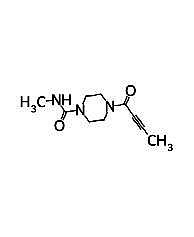 CC#CC(=O)N1CCN(C(=O)NC)CC1